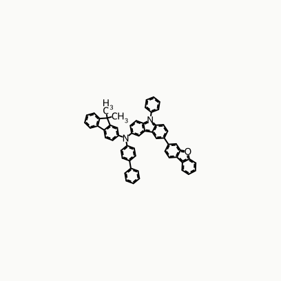 CC1(C)c2ccccc2-c2ccc(N(c3ccc(-c4ccccc4)cc3)c3ccc4c(c3)c3cc(-c5ccc6c(c5)oc5ccccc56)ccc3n4-c3ccccc3)cc21